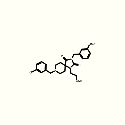 COCCN1C(=O)N(Cc2cccc(OC)c2)C(=O)C12CCN(Cc1cccc(Cl)c1)CC2